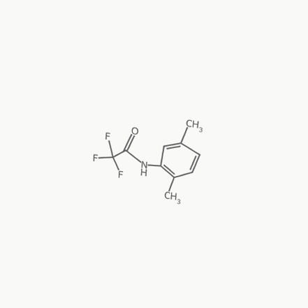 Cc1ccc(C)c(NC(=O)C(F)(F)F)c1